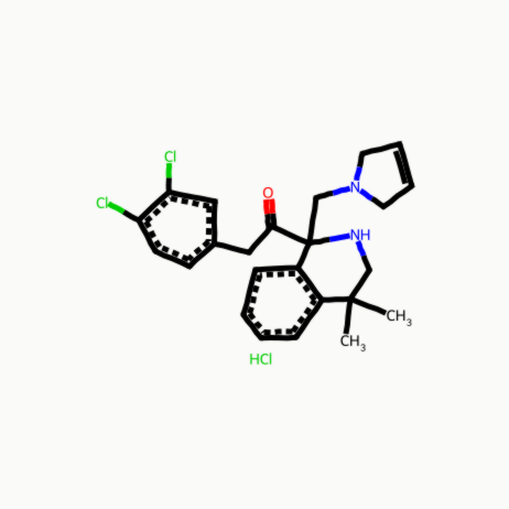 CC1(C)CNC(CN2CC=CC2)(C(=O)Cc2ccc(Cl)c(Cl)c2)c2ccccc21.Cl